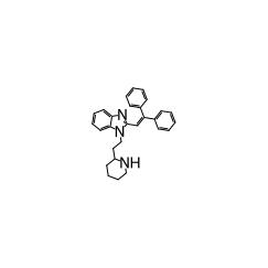 C(=C(c1ccccc1)c1ccccc1)c1nc2ccccc2n1CCC1CCCCN1